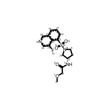 COCC(=O)N[C@H]1CCN(S(=O)(=O)c2cccc3cncc(F)c23)C1